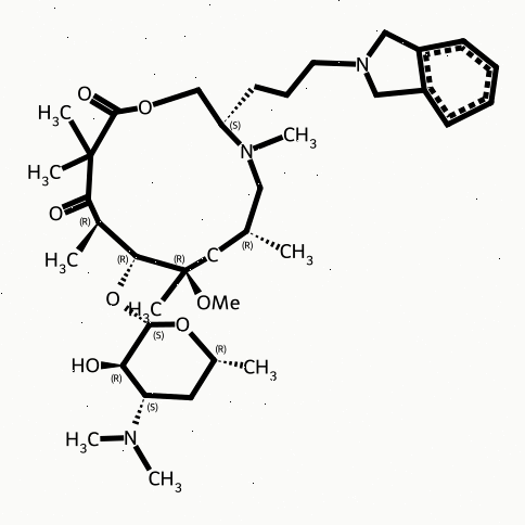 CO[C@]1(C)C[C@@H](C)CN(C)[C@@H](CCCN2Cc3ccccc3C2)COC(=O)C(C)(C)C(=O)[C@H](C)[C@H]1O[C@@H]1O[C@H](C)C[C@H](N(C)C)[C@H]1O